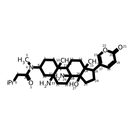 CC(C)CC(=O)N(C)C1CCC2(C)C3CCC4(C)C(c5ccc(=O)oc5)CCC4(O)C3(N)CCC2(N)C1